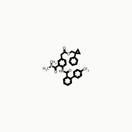 CN(C)C(=O)c1cc(CC(=O)OCC2(c3ccccc3)CC2)ccc1NC(=O)c1ccccc1-c1ccc(C(F)(F)F)cc1